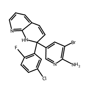 Nc1ncc(C2(c3cc(Cl)ccc3F)C=Cc3cccnc3N2)cc1Br